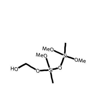 CO[Si](C)(OC)O[Si](C)(OC)OCO